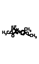 CCOC(=O)c1cn(C2CC=C(OCC)C(C)C2)nc1C(F)(F)F